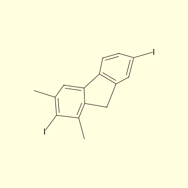 Cc1cc2c(c(C)c1I)Cc1cc(I)ccc1-2